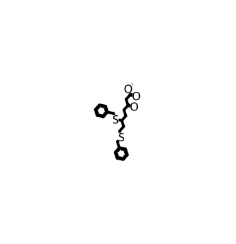 COC(=O)CC(=O)CCC(CCSCc1ccccc1)SCc1ccccc1